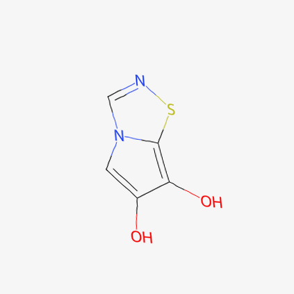 Oc1cn2cnsc2c1O